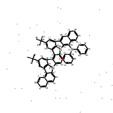 CC(C)(C)c1cc2c3c4ccccc4ccc3n3c4ccc5c(c6cc(C(C)(C)C)cc7c8cc9ccccc9c(N(c9ccccc9)c9ccccc9)c8n5c76)c4c(c1)c23